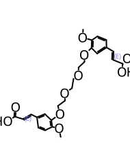 COc1ccc(/C=C/C(=O)O)cc1OCCOCCOCCOc1cc(/C=C/C(=O)O)ccc1OC